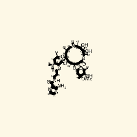 CO[C@]1(C)C[C@H](O[C@H]2[C@H](C)[C@@H](O[C@@H]3O[C@H](C)C[C@H](N(C)C)[C@H]3OCCCNC(=O)c3nccnc3N)[C@](C)(O)C[C@@H](C)CN(C)[C@H](C)[C@@H](O)[C@](C)(O)[C@@H](I)OC(=O)[C@@H]2C)O[C@@H](C)[C@@H]1O